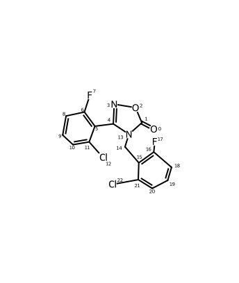 O=c1onc(-c2c(F)cccc2Cl)n1Cc1c(F)cccc1Cl